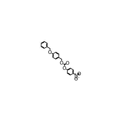 O=C(OCc1ccc(OCc2ccccc2)cc1)Oc1ccc([N+](=O)[O-])cc1